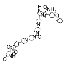 NC(=O)c1c(-c2ccc(Oc3ccccc3)cc2)nn2c1NCCC2C1CCN(C2CCN(C(=O)N3CCC(N4CCC(c5ccc6c(c5)C(=O)N(C5CCC(=O)NC5=O)C6=O)CC4)CC3)CC2)CC1